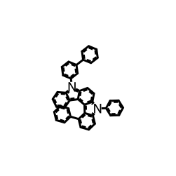 c1ccc(-c2cccc(-n3c4ccccc4c4c5c6c(-c7ccccc7)cccc6n(-c6ccccc6)c5ccc43)c2)cc1